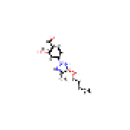 CCCCOc1nn(-c2ccc(C=O)c(O)c2)nc1C